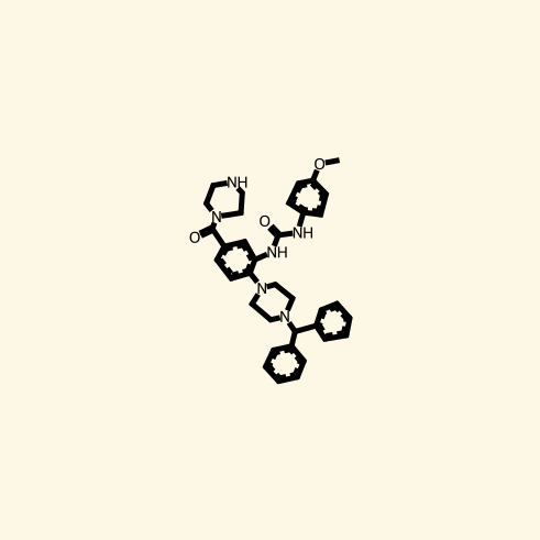 COc1ccc(NC(=O)Nc2cc(C(=O)N3CCNCC3)ccc2N2CCN(C(c3ccccc3)c3ccccc3)CC2)cc1